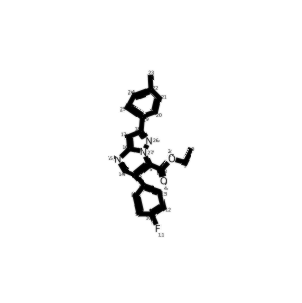 CCOC(=O)c1c(-c2ccc(F)cc2)cnc2cc(-c3ccc(C)cc3)nn12